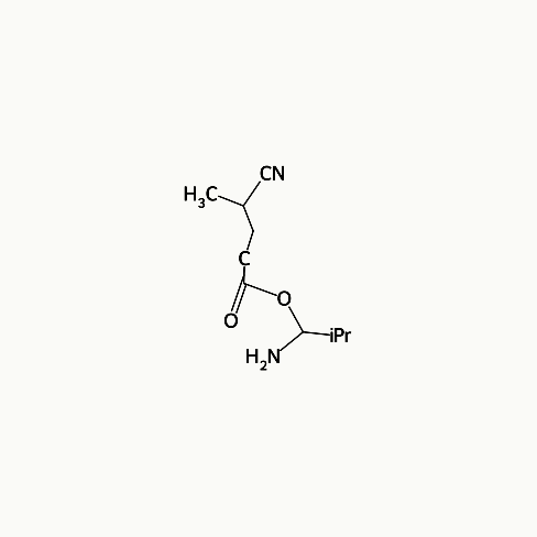 CC(C#N)CCC(=O)OC(N)C(C)C